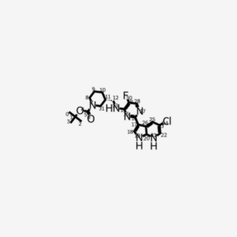 CC(C)(C)OC(=O)N1CCC[C@H](CNc2nc(C3=CNC4NC=C(Cl)C=C34)ncc2F)C1